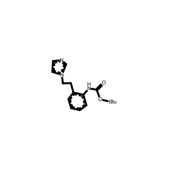 CC(C)(C)OC(=O)Nc1ccccc1CCn1ccnc1